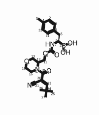 Cc1ccc(C[C@H](NC(=O)OCC2COCCN2C(=O)C(C#N)=CC(C)(C)C)B(O)O)cc1